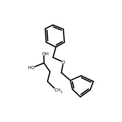 CCCC(O)O.c1ccc(COCc2ccccc2)cc1